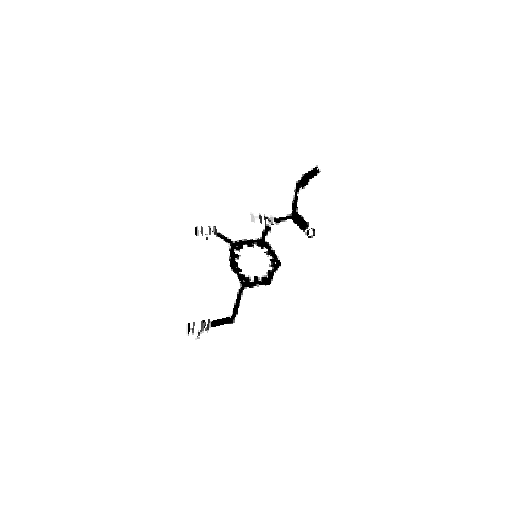 C=CC(=O)Nc1ccc(CN)cc1N